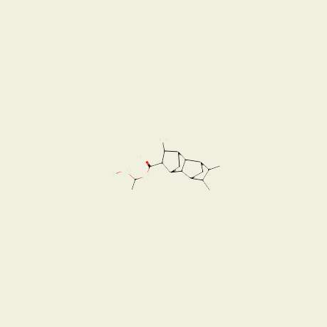 CCOC(C)OC(=O)C1C2CC(C1C(=O)O)C1C3CC(C(C)C3C)C21